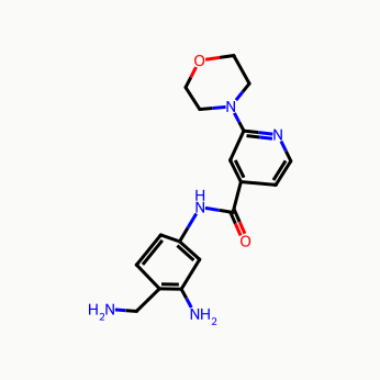 NCc1ccc(NC(=O)c2ccnc(N3CCOCC3)c2)cc1N